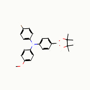 COc1ccc(N(c2ccc(Br)cc2)c2ccc(B3OC(C)(C)C(C)(C)O3)cc2)cc1